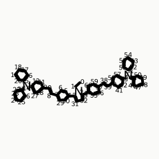 CCn1c(-c2ccc(/C=C/c3ccc(N(c4ccccc4)c4ccccc4)cc3)cc2)ccc1-c1ccc(/C=C/c2ccc(N(c3ccccc3)c3ccccc3)cc2)cc1